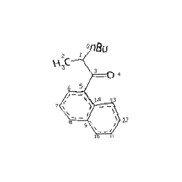 CCCCC(C)C(=O)c1cccc2ccccc12